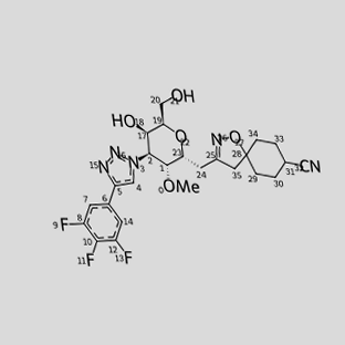 CO[C@@H]1[C@@H](n2cc(-c3cc(F)c(F)c(F)c3)nn2)[C@@H](O)[C@@H](CO)O[C@@H]1CC1=NOC2(CCC(C#N)CC2)C1